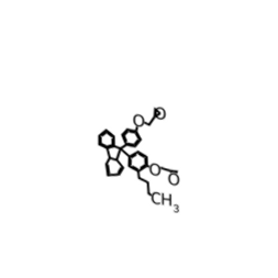 CCCCc1cc(C2(c3ccc(OCC4CO4)cc3)c3ccccc3C3C=CC=CC32)ccc1OCC1CO1